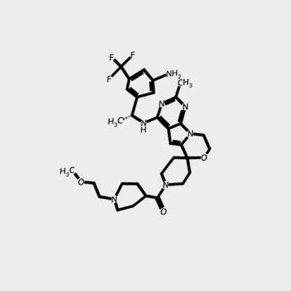 COCCN1CCC(C(=O)N2CCC3(CC2)OCCn2c3cc3c(N[C@H](C)c4cc(N)cc(C(F)(F)F)c4)nc(C)nc32)CC1